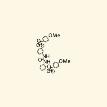 COc1ccc(S(=O)(=O)Oc2cccc(NC(=O)Nc3ccccc3OS(=O)(=O)c3ccc(OC)cc3)c2)cc1